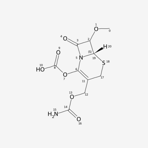 COC1C(=O)N2C(OC(=O)O)=C(COC(N)=O)CS[C@@H]12